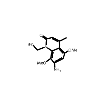 COc1cc(N)c(OC)c2c1c(C)cc(=O)n2CC(C)C